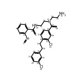 C=Nc1ccccc1C(=C)NCCN(CCN)C(=C)c1ccc(CCc2cccc(Cl)c2)c(Cl)c1